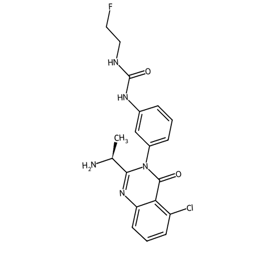 C[C@H](N)c1nc2cccc(Cl)c2c(=O)n1-c1cccc(NC(=O)NCCF)c1